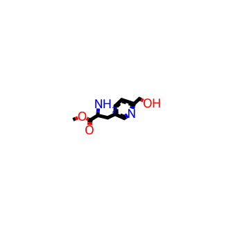 COC(=O)C(N)Cc1ccc(CO)nc1